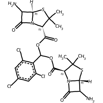 CC1(C)S[C@@H]2C(N)C(=O)N2[C@H]1C(=O)OC(OC(=O)[C@@H]1N2C(=O)C(N)[C@H]2SC1(C)C)c1c(Cl)cc(Cl)cc1Cl